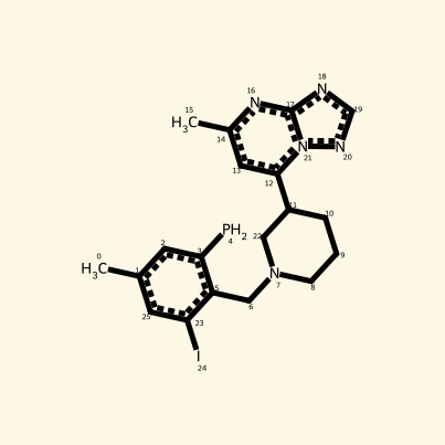 Cc1cc(P)c(CN2CCCC(c3cc(C)nc4ncnn34)C2)c(I)c1